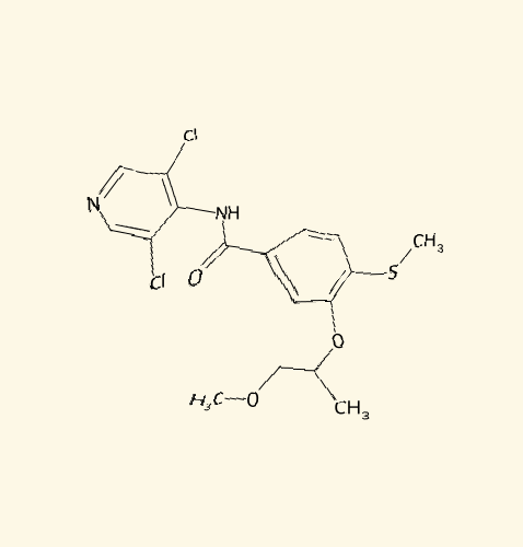 COCC(C)Oc1cc(C(=O)Nc2c(Cl)cncc2Cl)ccc1SC